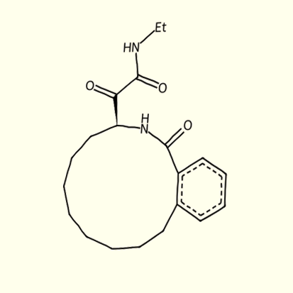 CCNC(=O)C(=O)[C@@H]1CCCCCCCCc2ccccc2C(=O)N1